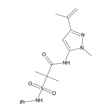 C=C(C)c1cc(NC(=O)C(C)(C)S(=O)(=O)NC(C)C)n(C)n1